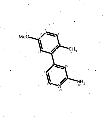 COc1ccc(C)c(-c2ccnc(N)c2)c1